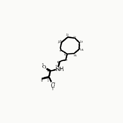 CC(Cl)C(=O)NCCC1CCCCCCC1